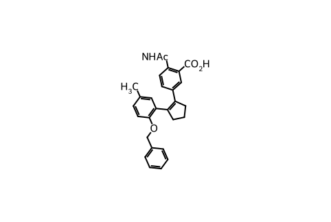 CC(=O)Nc1ccc(C2=C(c3cc(C)ccc3OCc3ccccc3)CCC2)cc1C(=O)O